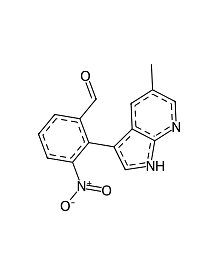 Cc1cnc2[nH]cc(-c3c(C=O)cccc3[N+](=O)[O-])c2c1